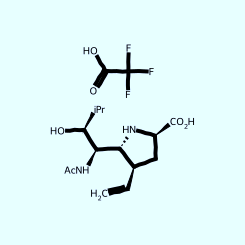 C=C[C@@H]1C[C@H](C(=O)O)N[C@H]1[C@@H](NC(C)=O)[C@@H](O)C(C)C.O=C(O)C(F)(F)F